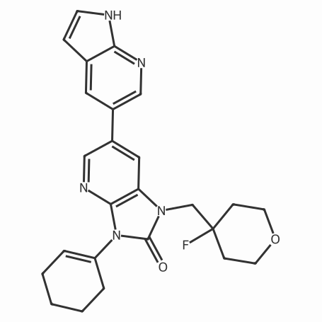 O=c1n(CC2(F)CCOCC2)c2cc(-c3cnc4[nH]ccc4c3)cnc2n1C1=CCCCC1